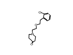 O=C1CCN(CCOCCc2ccccc2Cl)CC1